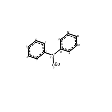 [CH2]CCCN(c1ccccc1)c1ccccc1